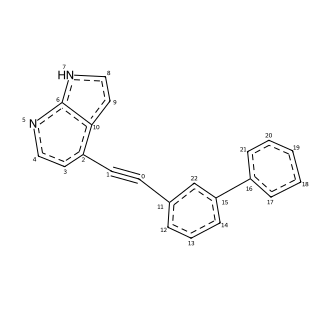 C(#Cc1ccnc2[nH]ccc12)c1cccc(-c2ccccc2)c1